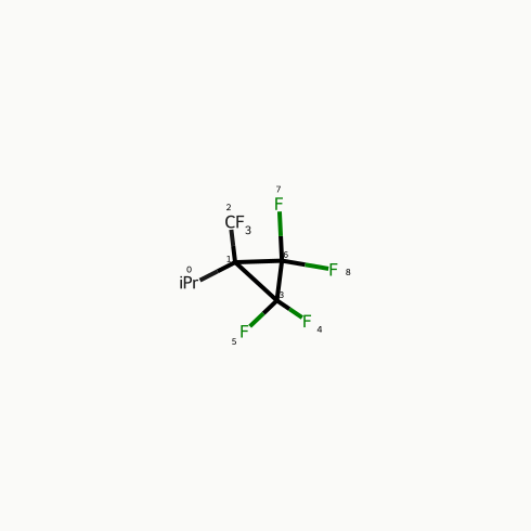 CC(C)C1(C(F)(F)F)C(F)(F)C1(F)F